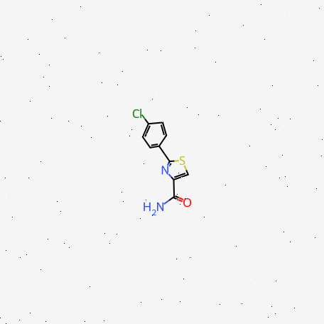 NC(=O)c1csc(-c2ccc(Cl)cc2)n1